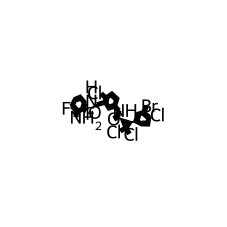 Nc1c(F)ccc(NC(=O)c2cc(NC(=O)[C@@H]3[C@@H](c4ccc(Cl)c(Br)c4)C3(Cl)Cl)ccc2Cl)c1F